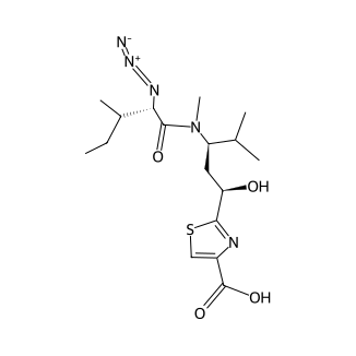 CCC(C)[C@H](N=[N+]=[N-])C(=O)N(C)[C@H](C[C@@H](O)c1nc(C(=O)O)cs1)C(C)C